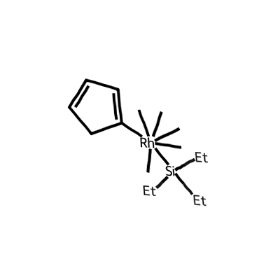 CC[Si](CC)(CC)[Rh]([CH3])([CH3])([CH3])([CH3])([CH3])[C]1=CC=CC1